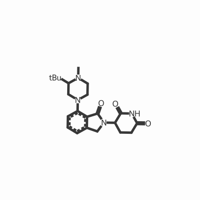 CN1CCN(c2cccc3c2C(=O)N(C2CCC(=O)NC2=O)C3)CC1C(C)(C)C